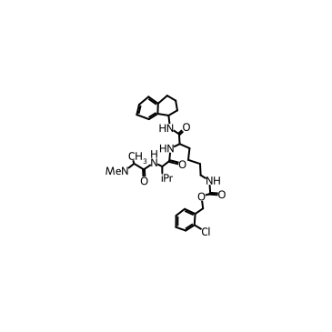 CNC(C)C(=O)NC(C(=O)NC(CCCCNC(=O)OCc1ccccc1Cl)C(=O)NC1CCCc2ccccc21)C(C)C